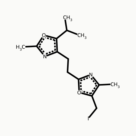 Cc1nc(CCc2nc(C)c(CI)o2)c(C(C)C)o1